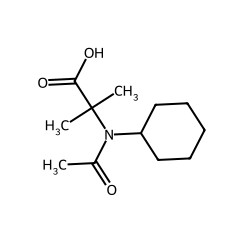 CC(=O)N(C1CCCCC1)C(C)(C)C(=O)O